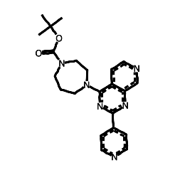 CC(C)(C)OC(=O)N1CCCN(c2nc(-c3ccncc3)nc3cnccc23)CC1